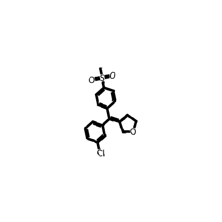 CS(=O)(=O)c1ccc(/C(=C2\CCOC2)c2cccc(Cl)c2)cc1